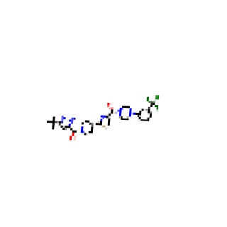 Cn1nc(C(C)(C)C)cc1C(=O)N1CCC(c2nc(C(=O)N3CCN(c4cccc(C(F)(F)F)c4)CC3)cs2)CC1